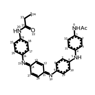 CC(=O)Nc1ccc(Nc2ccc(N=C3C=CC(=Nc4ccc(NC(=O)CI)cc4)C=C3)cc2)cc1